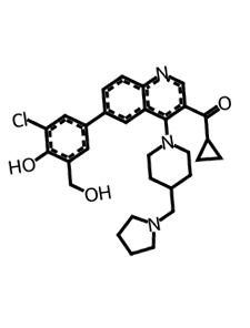 O=C(c1cnc2ccc(-c3cc(Cl)c(O)c(CO)c3)cc2c1N1CCC(CN2CCCC2)CC1)C1CC1